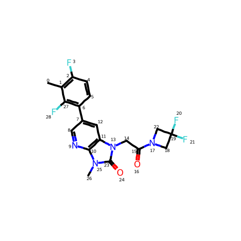 Cc1c(F)ccc(-c2cnc3c(c2)n(CC(=O)N2CC(F)(F)C2)c(=O)n3C)c1F